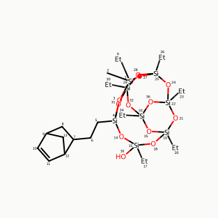 CC[Si]1(C)O[Si]2(CCC3CC4C=CC3C4)O[Si](O)(CC)O[Si]3(CC)O[Si]4(CC)O[Si](CC)(O1)O[Si](CC)(O2)O[Si](CC)(O3)O4